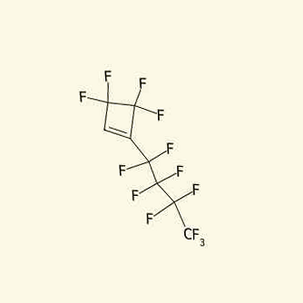 FC(F)(F)C(F)(F)C(F)(F)C(F)(F)C1=CC(F)(F)C1(F)F